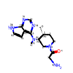 C[C@@H]1CCN(C(=O)CN)C[C@@H]1N(C)c1ncnc2[nH]ccc12